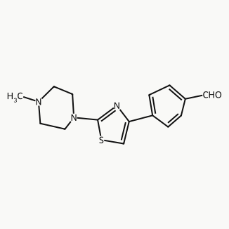 CN1CCN(c2nc(-c3ccc(C=O)cc3)cs2)CC1